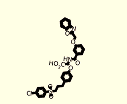 O=C(NC(Oc1ccc(CCCS(=O)(=O)c2ccc(Cl)cc2)cc1)C(=O)O)c1cccc(OCc2nc3ccccc3o2)c1